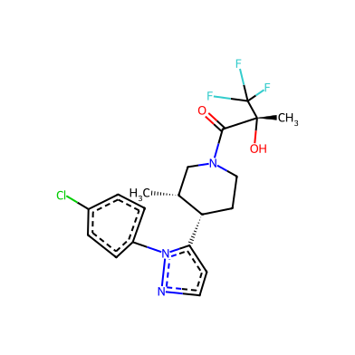 C[C@@H]1CN(C(=O)[C@@](C)(O)C(F)(F)F)CC[C@@H]1c1ccnn1-c1ccc(Cl)cc1